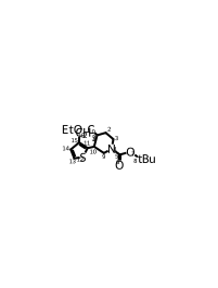 CCOC(=O)C1CCN(C(=O)OC(C)(C)C)CC1c1sccc1C